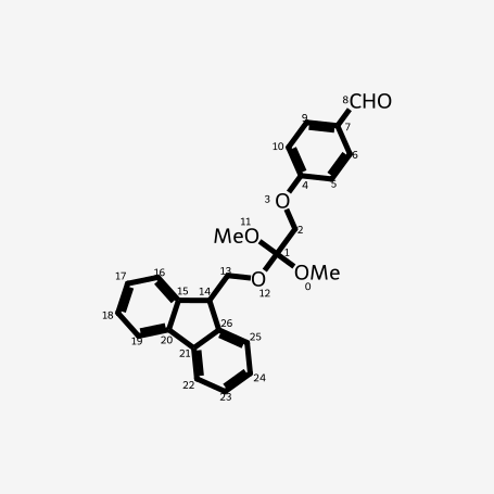 COC(COc1ccc(C=O)cc1)(OC)OCC1c2ccccc2-c2ccccc21